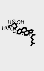 CC(C)CCCC(C)[C@H]1CCC2C3CC=C4C[C@@H](OC5C[C@@H](O)[C@H](O)[C@@H](CO)O5)CC[C@]4(C)C3CC[C@@]21C